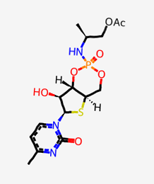 CC(=O)OC[C@H](C)NP1(=O)OC[C@H]2S[C@@H](n3ccc(C)nc3=O)[C@@H](O)[C@@H]2O1